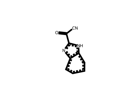 N#CC(=O)c1nc2ccccc2[nH]1